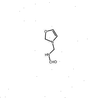 O=[C]NCN1C=COC1